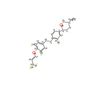 CCCC1CCC(c2ccc(CCc3cc(F)c(O/C=C/C(F)F)c(F)c3)c(F)c2)OC1